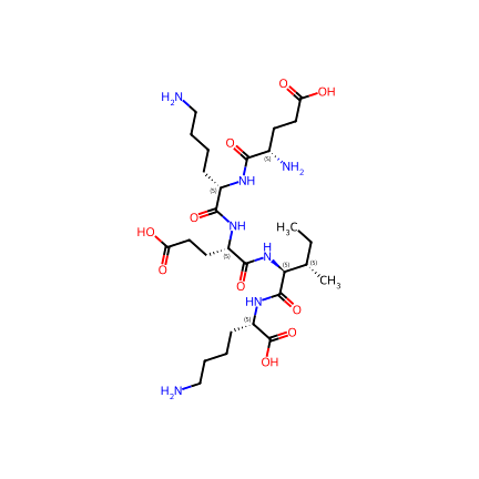 CC[C@H](C)[C@H](NC(=O)[C@H](CCC(=O)O)NC(=O)[C@H](CCCCN)NC(=O)[C@@H](N)CCC(=O)O)C(=O)N[C@@H](CCCCN)C(=O)O